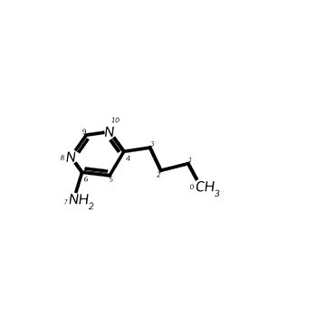 CCCCc1cc(N)ncn1